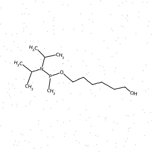 CC(C)N(C(C)C)P(C)OCCCCCCO